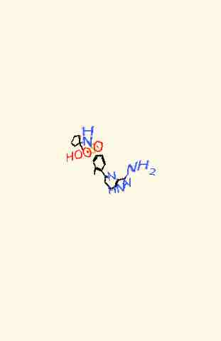 Cc1cc(S(=O)(=O)NC2(CO)CCCC2)ccc1-c1ccc2[nH]nc(N)c2n1